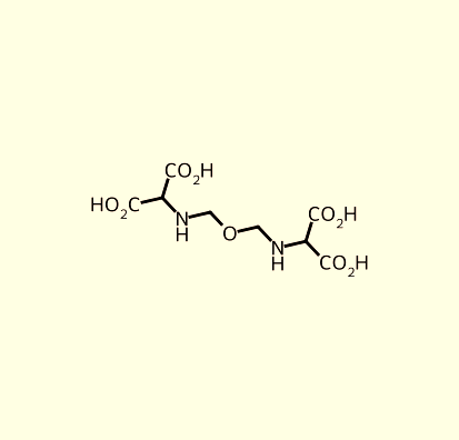 O=C(O)C(NCOCNC(C(=O)O)C(=O)O)C(=O)O